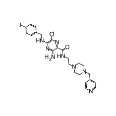 Nc1nc(NCc2ccc(I)cc2)c(Cl)nc1C(=O)NCCN1CCN(Cc2ccncc2)CC1